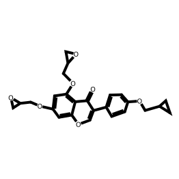 O=c1c(-c2ccc(OCC3CC3)cc2)coc2cc(OCC3CO3)cc(OCC3CO3)c12